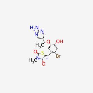 CC(Oc1cc(/C=C2\SC(=O)N(C)C2=O)c(Br)cc1O)c1cnc(N)nc1